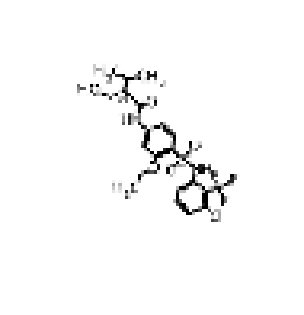 CCOc1cc(NC(=O)[C@@H](CO)C(C)C)ccc1S(=O)(=O)Nc1cccc(Cl)c1C(F)(F)F